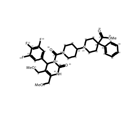 COCC1=C(COC)C(c2cc(F)c(F)c(F)c2)N(C(=O)N2CCC(N3CCC(C(=O)OC)(c4ccccc4)CC3)CC2)C(=O)N1